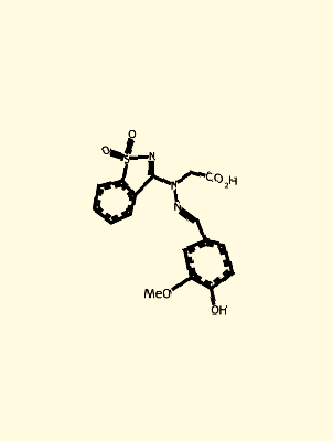 COc1cc(C=NN(CC(=O)O)C2=NS(=O)(=O)c3ccccc32)ccc1O